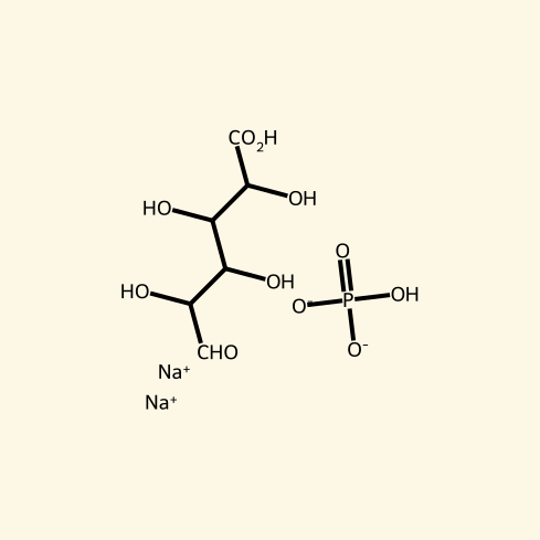 O=CC(O)C(O)C(O)C(O)C(=O)O.O=P([O-])([O-])O.[Na+].[Na+]